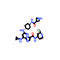 O=C(Nc1ccnc(Cl)c1)c1cnc2c(NC3CC3)cc(N[C@H]3CC[C@H](NC(=O)C4CNC4)CC3)nn12